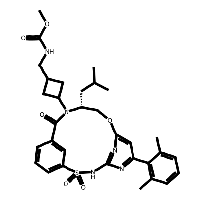 COC(=O)NCC1CC(N2C(=O)c3cccc(c3)S(=O)(=O)Nc3nc(cc(-c4c(C)cccc4C)n3)OC[C@H]2CC(C)C)C1